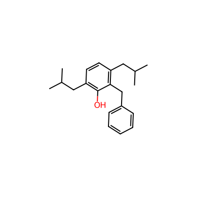 CC(C)Cc1ccc(CC(C)C)c(Cc2ccccc2)c1O